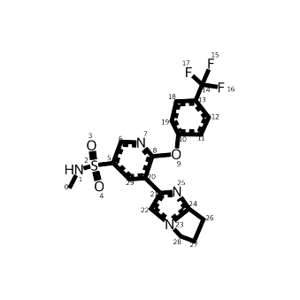 CNS(=O)(=O)c1cnc(Oc2ccc(C(F)(F)F)cc2)c(-c2cn3c(n2)CCC3)c1